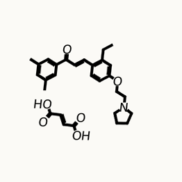 CCc1cc(OCCN2CCCC2)ccc1C=CC(=O)c1cc(C)cc(C)c1.O=C(O)/C=C/C(=O)O